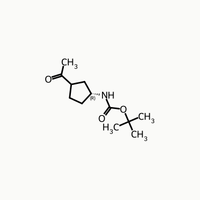 CC(=O)C1CC[C@@H](NC(=O)OC(C)(C)C)C1